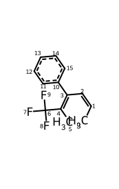 C/C=C\C(=C(/C)C(F)(F)F)c1ccccc1